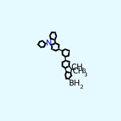 Bc1ccc2c(c1)C(C)(C)c1cc(-c3cccc(-c4ccc5c(c4)c4ccccc4n5-c4ccccc4)c3)ccc1-2